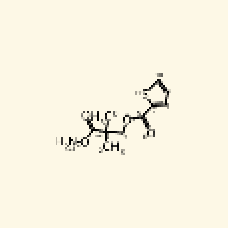 CC(C)(COC(=O)c1cccs1)C(=O)ON